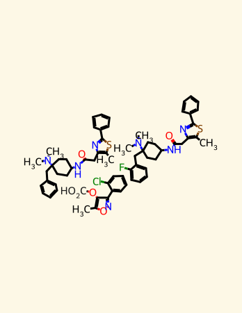 Cc1onc(-c2ccccc2Cl)c1OC(=O)O.Cc1sc(-c2ccccc2)nc1CC(=O)NC1CCC(Cc2ccccc2)(N(C)C)CC1.Cc1sc(-c2ccccc2)nc1CC(=O)NC1CCC(Cc2ccccc2F)(N(C)C)CC1